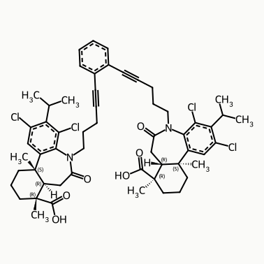 CC(C)c1c(Cl)cc2c(c1Cl)N(CCCC#Cc1ccccc1C#CCCCN1C(=O)C[C@H]3[C@](C)(C(=O)O)CCC[C@]3(C)c3cc(Cl)c(C(C)C)c(Cl)c31)C(=O)C[C@H]1[C@](C)(C(=O)O)CCC[C@]21C